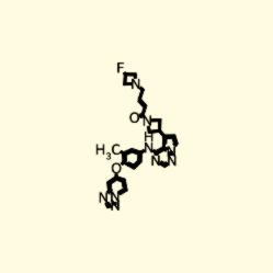 Cc1cc(Nc2ncnn3ccc(C4CN(C(=O)/C=C/CN5CC(F)C5)C4)c23)ccc1Oc1ccn2ncnc2c1